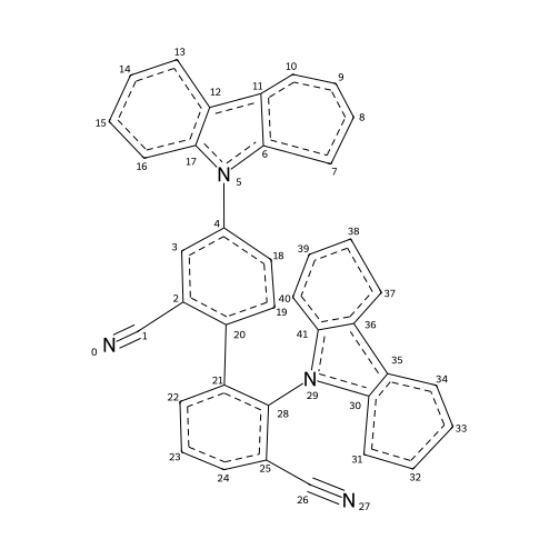 N#Cc1cc(-n2c3ccccc3c3ccccc32)ccc1-c1cccc(C#N)c1-n1c2ccccc2c2ccccc21